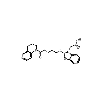 O=C(O)Cn1c(SCCCCC(=O)N2CCCc3ccccc32)nc2ccccc21